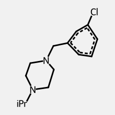 CC(C)N1CCN(Cc2cccc(Cl)c2)CC1